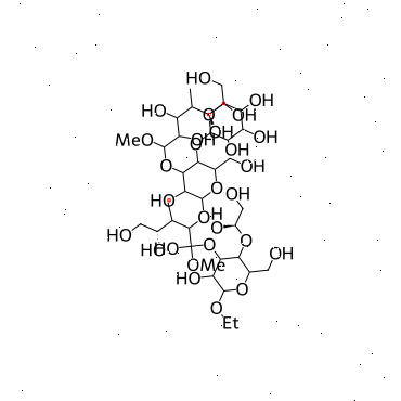 CCOC1OC(CO)C(O[C@@H](O)CO)C(OC(O)(OC)C(OC2OC(CO)C(OC3OC(CO)C(O)C(O)C3O)C(OC(OC)C(O)C(O)C(C)[C@H](O)CO)C2O)C(C)[C@H](O)CO)C1O